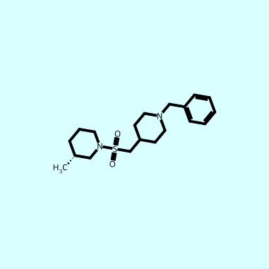 C[C@@H]1CCCN(S(=O)(=O)CC2CCN(Cc3ccccc3)CC2)C1